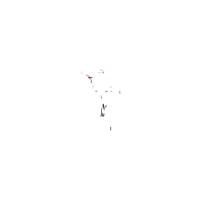 CC#CC(C)CC(=O)S